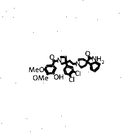 COc1cc(C(=O)N2CCC(CCN3CCC(C(N)=O)(c4ccccc4)CC3)(c3ccc(Cl)c(Cl)c3)C2)cc(O)c1OC